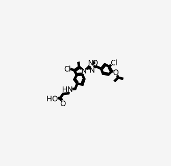 Cc1c(Cl)c2cc(CNCCC(=O)O)ccc2n1-c1noc(-c2ccc(OC(C)C)c(Cl)c2)n1